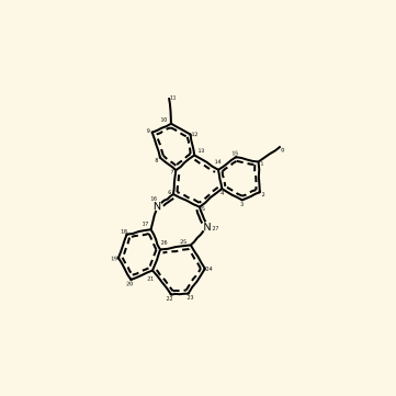 Cc1ccc2c3c(c4ccc(C)cc4c2c1)=Nc1cccc2cccc(c12)N=3